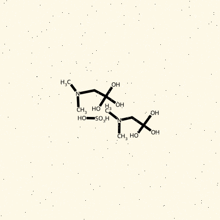 CN(C)CC(O)(O)O.CN(C)CC(O)(O)O.O=S(=O)(O)O